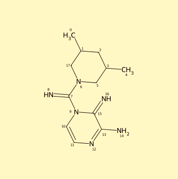 CC1CC(C)CN(C(=N)n2ccnc(N)c2=N)C1